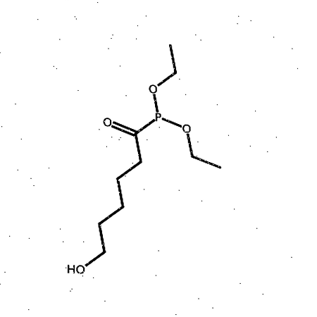 CCOP(OCC)C(=O)CCCCCO